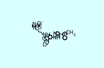 Cn1cc(-c2ccnc(Nc3ccc(C(=O)NCCCCCn4ccnc4[N+](=O)[O-])c(N4CCOCC4)c3)n2)c2ccccc21